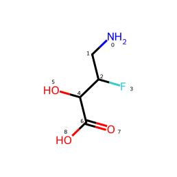 NCC(F)C(O)C(=O)O